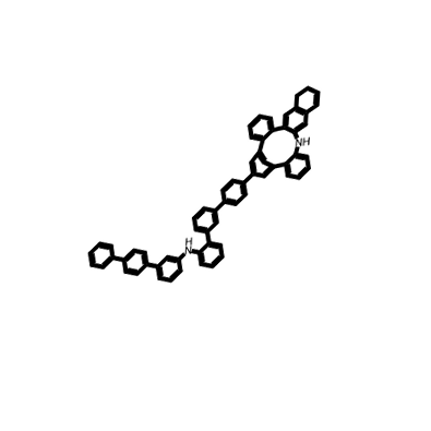 C1=Cc2cc3c(cc2CC1)-c1ccccc1-c1cc(-c2ccc(-c4cccc(-c5ccccc5Nc5cccc(-c6ccc(-c7ccccc7)cc6)c5)c4)cc2)cc(c1)-c1ccccc1N3